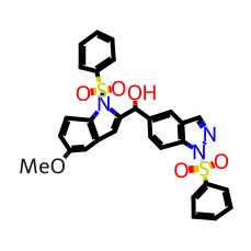 COc1ccc2c(c1)cc(C(O)c1ccc3c(cnn3S(=O)(=O)c3ccccc3)c1)n2S(=O)(=O)c1ccccc1